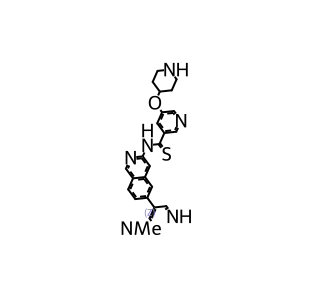 CN/C=C(\C=N)c1ccc2cnc(NC(=S)c3cncc(OC4CCNCC4)c3)cc2c1